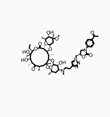 CC[C@H]1OC(=O)[C@H](C)[C@@H](O[C@H]2C[C@@](C)(OC)[C@@H](O)[C@H](C)O2)[C@H](C)[C@@H](O[C@@H]2O[C@H](C)C[C@H](N(C)CCc3cn(C[C@H]4CN(c5ccc(C(C)=O)cc5)C(=O)O4)nn3)[C@H]2O)[C@](C)(OC)C[C@@H](C)C(=O)[C@H](C)[C@@H](O)[C@]1(C)O